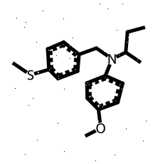 CCC(C)N(Cc1ccc(SC)cc1)c1ccc(OC)cc1